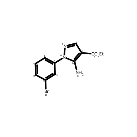 CCOC(=O)c1cnn(-c2cccc(Br)c2)c1N